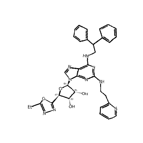 CCc1nnc([C@H]2O[C@@H](n3cnc4c(NCC(c5ccccc5)c5ccccc5)nc(NCCc5ccccn5)nc43)[C@H](O)[C@@H]2O)o1